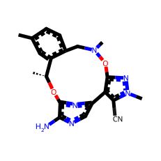 Cc1ccc2c(c1)[C@@H](C)Oc1nc(cnc1N)-c1c(nn(C)c1C#N)ON(C)C2